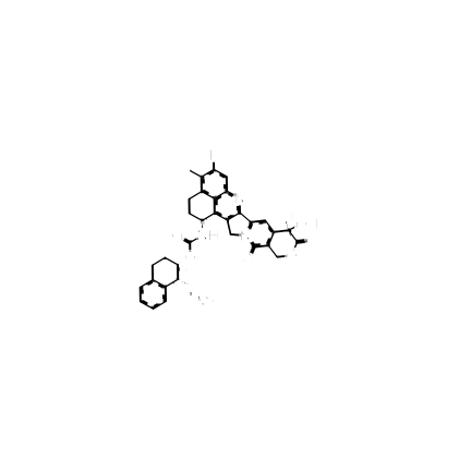 CC[C@@]1(O)C(=O)OCc2c1cc1n(c2=O)Cc2c-1nc1cc(F)c(C)c3c1c2[C@@H](NC(=O)O[C@H]1CCc2ccccc2[C@@H]1SSC)CC3